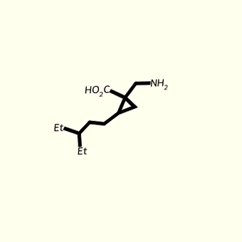 CCC(CC)CCC1CC1(CN)C(=O)O